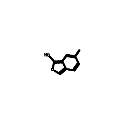 Cc1ccc2coc(O)c2c1